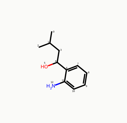 CC(C)CC(O)c1ccccc1N